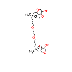 CC(C)(CCCCOCCCOCCCCC(C)(C)Cc1cocc(O)c1=O)Cc1cc(=O)c(O)co1